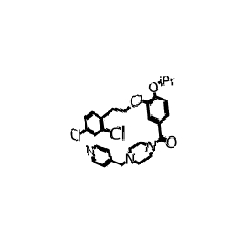 CC(C)Oc1ccc(C(=O)N2CCN(Cc3ccncc3)CC2)cc1OCCc1ccc(Cl)cc1Cl